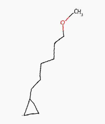 COCCCCCCC1[CH]C1